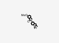 COc1ccc2c(c1)C(=O)N(c1ccc3c(c1)cc(C)n3C(C)C)C2